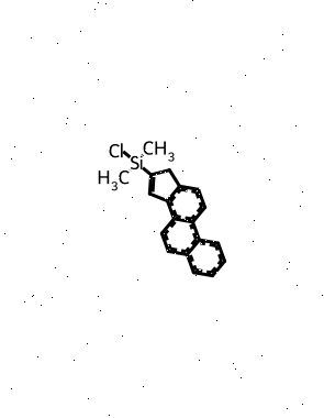 C[Si](C)(Cl)C1=Cc2c(ccc3c2ccc2ccccc23)C1